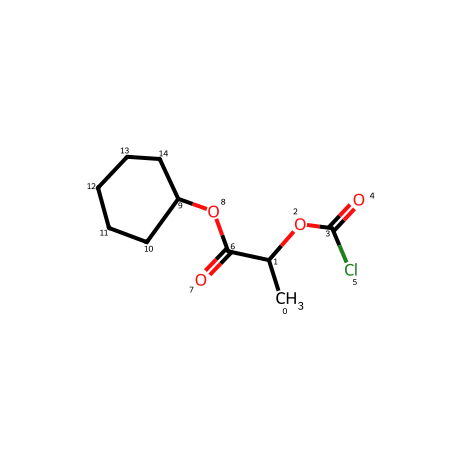 CC(OC(=O)Cl)C(=O)OC1CCCCC1